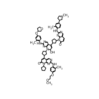 COCCOc1ccc(Nc2ncc3c(C4CCC(N5c6nc(Nc7ccc(OC8CCOC8)cc7C)ncc6C(C6CCC(n7c(=O)ccc8cnc(Nc9ccc(C%10CCN(C)C%10)cc9C)nc87)C6)=CC5O)C4)cc(=O)n(C4CCCC4)c3n2)c(C)c1